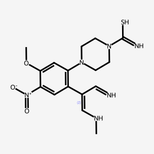 CN/C=C(\C=N)c1cc([N+](=O)[O-])c(OC)cc1N1CCN(C(=N)S)CC1